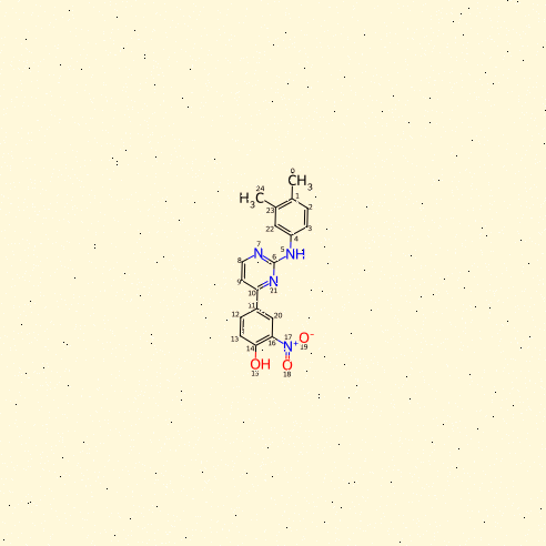 Cc1ccc(Nc2nccc(-c3ccc(O)c([N+](=O)[O-])c3)n2)cc1C